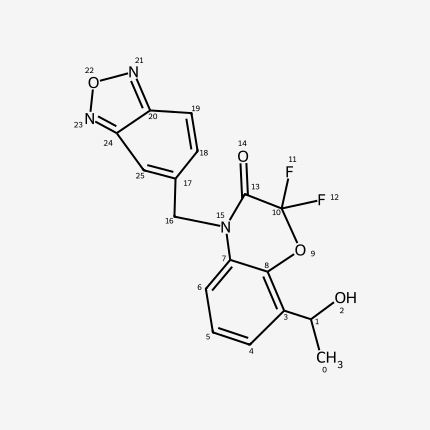 CC(O)c1cccc2c1OC(F)(F)C(=O)N2Cc1ccc2nonc2c1